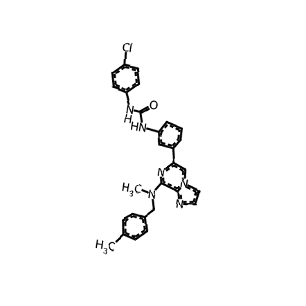 Cc1ccc(CN(C)c2nc(-c3cccc(NC(=O)Nc4ccc(Cl)cc4)c3)cn3ccnc23)cc1